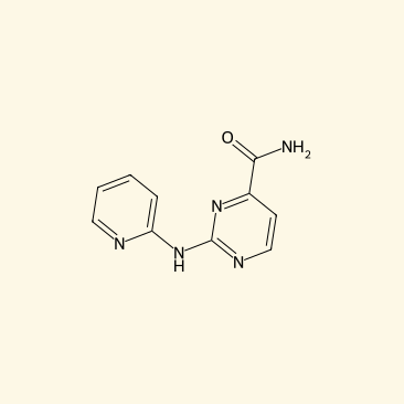 NC(=O)c1ccnc(Nc2ccccn2)n1